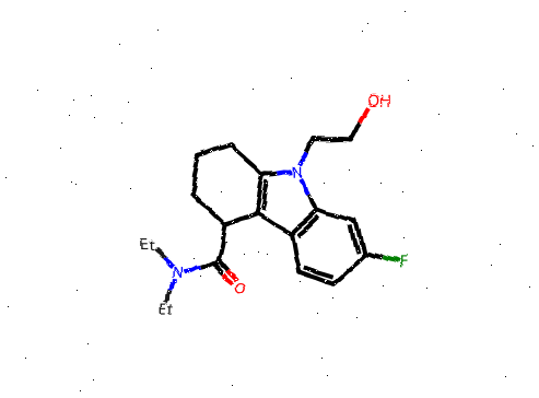 CCN(CC)C(=O)C1CCCc2c1c1ccc(F)cc1n2CCO